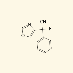 N#CC(F)(c1ccccc1)c1cocn1